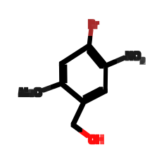 COc1cc(Br)c([N+](=O)[O-])cc1CO